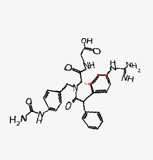 N=C(N)NCCC[C@@H](C(=O)NCC(=O)O)N(Cc1ccc(NC(N)=O)cc1)C(=O)C(c1ccccc1)c1ccccc1